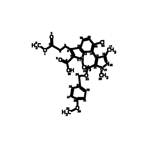 COC(=O)CCc1c(C(=O)O)n(C)c2c(-c3c(C)nn(C)c3COCc3ccc(OC)cc3)c(Cl)ccc12